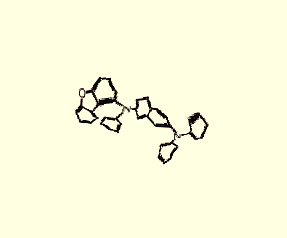 c1ccc(N(c2ccccc2)c2ccc3ccc(N(c4ccccc4)c4cccc5oc6ccccc6c45)cc3c2)cc1